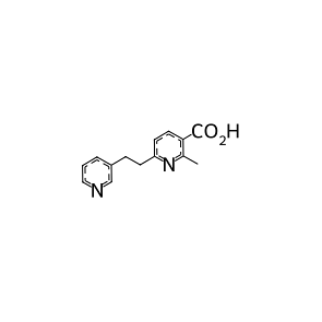 Cc1nc(CCc2cccnc2)ccc1C(=O)O